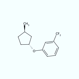 C[C@@H]1CC[C@@H](Oc2cccc(C(F)(F)F)c2)C1